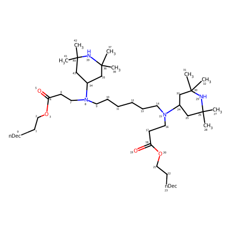 CCCCCCCCCCCCOC(=O)CCN(CCCCCCN(CCC(=O)OCCCCCCCCCCCC)C1CC(C)(C)NC(C)(C)C1)C1CC(C)(C)NC(C)(C)C1